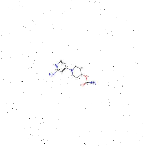 NC(=O)OC1CCN(c2ccnc(N)c2)CC1